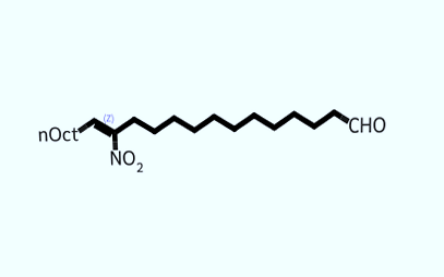 CCCCCCCC/C=C(/CCCCCCCCCCCC=O)[N+](=O)[O-]